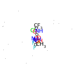 CC(SC1COC(c2ccc(C(=O)Nc3ccc(C(F)(F)F)cc3Cl)cc2)OC1)C(O)(CN1C=NCN1)c1ccc(F)cc1F